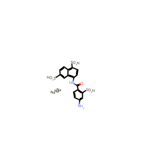 Nc1ccc(C(=O)Nc2ccc(S(=O)(=O)O)c3ccc(S(=O)(=O)O)cc23)c(S(=O)(=O)O)c1.[Na].[Na].[Na]